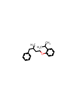 CC([CH]c1ccccc1)CCOc1ccccc1C(C)C